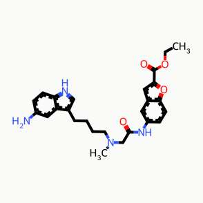 CCOC(=O)c1cc2cc(NC(=O)CN(C)CCCCc3c[nH]c4ccc(N)cc34)ccc2o1